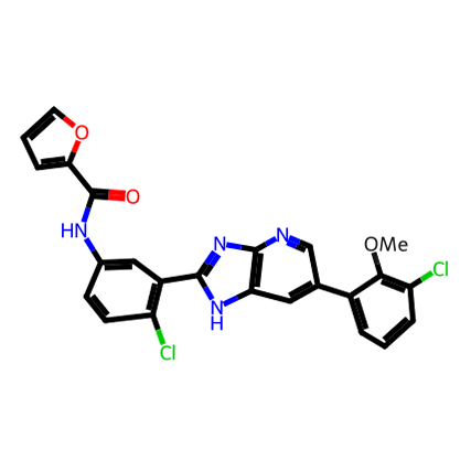 COc1c(Cl)cccc1-c1cnc2nc(-c3cc(NC(=O)c4ccco4)ccc3Cl)[nH]c2c1